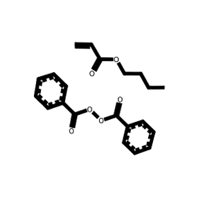 C=CC(=O)OCCCC.O=C(OOC(=O)c1ccccc1)c1ccccc1